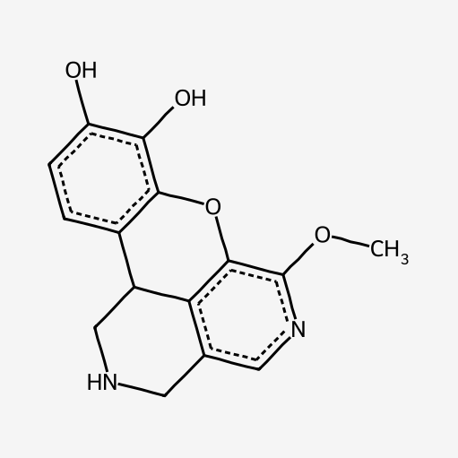 COc1ncc2c3c1Oc1c(ccc(O)c1O)C3CNC2